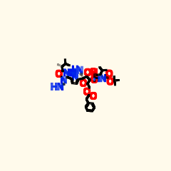 CC(C)[C@H](NC(=O)OC(C)(C)C)C(=O)O[C@H]1[C@@H](O)[C@](C#N)(c2ccc(/C(=N\C=N)NC(=O)[C@H](C)C(C)C)[nH]2)O[C@@H]1COC(=O)Cc1ccccc1